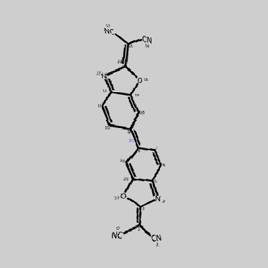 N#CC(C#N)=c1nc2cc/c(=c3/ccc4nc(=C(C#N)C#N)oc4c3)cc2o1